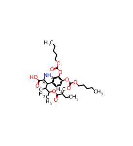 CCCCCOC(=O)Oc1ccc(C(C(C)C(C)OC(=O)C(C)CC)[C@H](N)C(=O)O)cc1OC(=O)OCCCCC